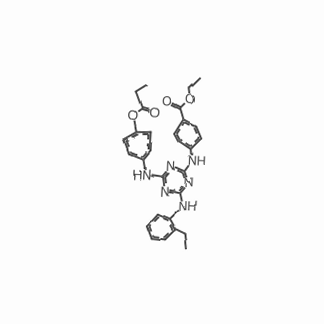 CCOC(=O)c1ccc(Nc2nc(Nc3ccc(OC(=O)CC)cc3)nc(Nc3ccccc3CC)n2)cc1